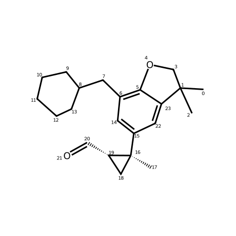 CC1(C)COc2c(CC3CCCCC3)cc([C@@]3(C)C[C@@H]3C=O)cc21